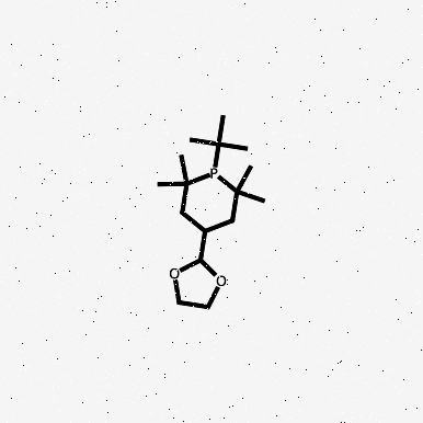 CC(C)(C)P1C(C)(C)CC(C2OCCO2)CC1(C)C